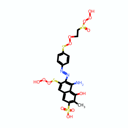 Cc1c(S(=O)(=O)O)cc2cc(SOOO)c(N=Nc3ccc(SOOCCS(=O)OOO)cc3)c(N)c2c1O